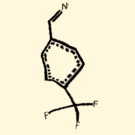 [N]=Cc1ccc(C(F)(F)F)cc1